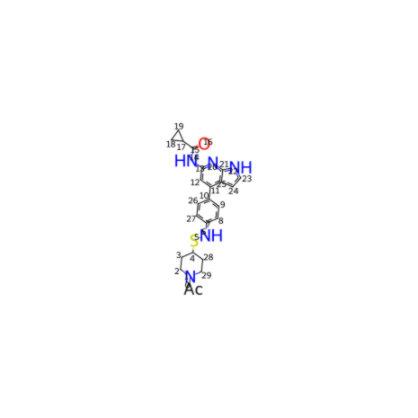 CC(=O)N1CCC(SNc2ccc(-c3cc(NC(=O)C4CC4)nc4[nH]ccc34)cc2)CC1